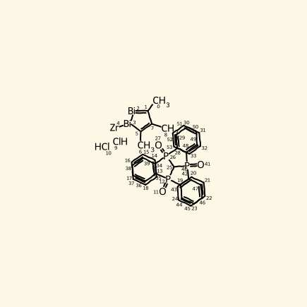 C[C]1=[Bi][Bi]([Zr])[C](C)=C1C.Cl.Cl.O=P(c1ccccc1)(c1ccccc1)C(P(=O)(c1ccccc1)c1ccccc1)P(=O)(c1ccccc1)c1ccccc1